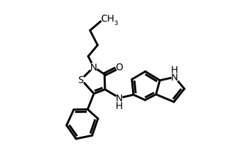 CCCCn1sc(-c2ccccc2)c(Nc2ccc3[nH]ccc3c2)c1=O